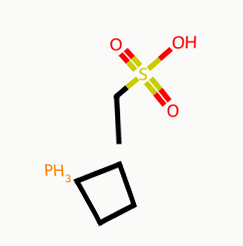 C1CCC1.CCS(=O)(=O)O.P